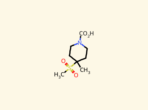 CC1(S(C)(=O)=O)CCN(C(=O)O)CC1